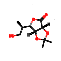 C[C@H](CO)[C@@H]1OC(=O)[C@@H]2OC(C)(C)O[C@H]12